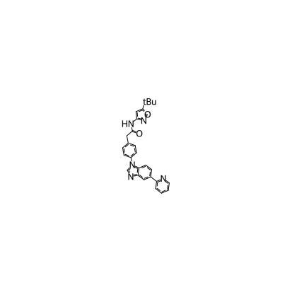 CC(C)(C)c1cc(NC(=O)Cc2ccc(-n3cnc4cc(-c5ccccn5)ccc43)cc2)no1